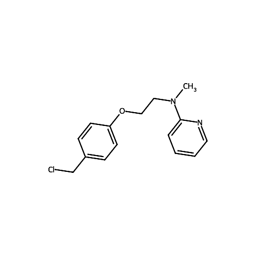 CN(CCOc1ccc(CCl)cc1)c1ccccn1